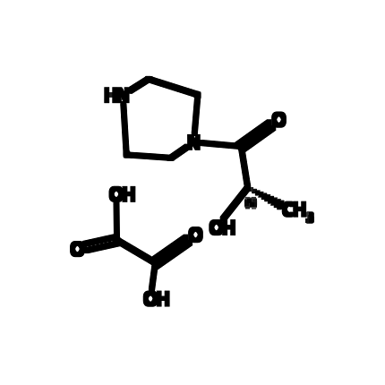 C[C@H](O)C(=O)N1CCNCC1.O=C(O)C(=O)O